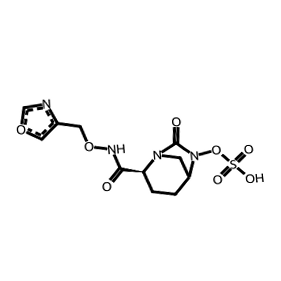 O=C(NOCc1cocn1)[C@@H]1CCC2CN1C(=O)N2OS(=O)(=O)O